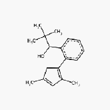 CC1=CC(C)=C(c2ccccc2C(O)C(C)(C)C)C1